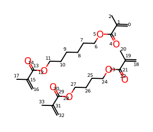 C=C(C)C(=O)OCCCCCCOC(=O)C(=C)C.C=C(C)C(=O)OCCCCOC(=O)C(=C)C